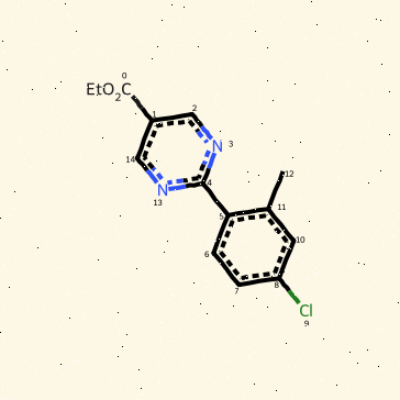 CCOC(=O)c1cnc(-c2ccc(Cl)cc2C)nc1